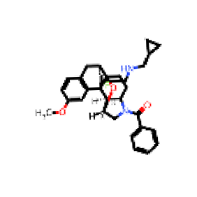 COc1ccc2c(c1)C13[C@H]4C5CCC1(O[C@@H]4CN5C(=O)c1ccccc1)C(C2)CC3(F)CNCC1CC1